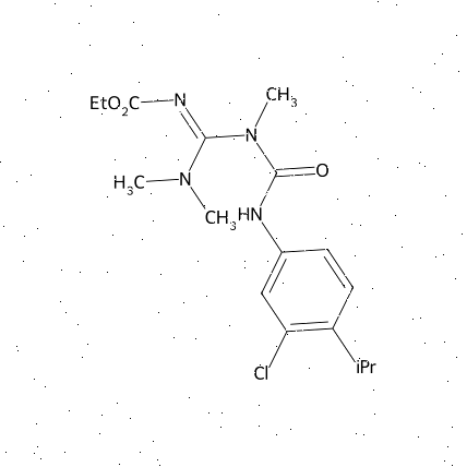 CCOC(=O)N=C(N(C)C)N(C)C(=O)Nc1ccc(C(C)C)c(Cl)c1